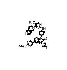 COc1ncc(-c2ccc(N(C(=O)NCC(F)F)[C@H]3CC[C@H](Nc4ncc(C(F)(F)F)c(N5CCc6cnccc6C5)n4)CC3)nc2)cn1